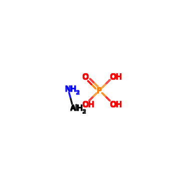 O=P(O)(O)O.[NH2][AlH2]